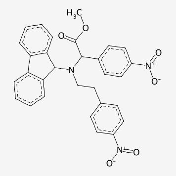 COC(=O)C(c1ccc([N+](=O)[O-])cc1)N(CCc1ccc([N+](=O)[O-])cc1)C1c2ccccc2-c2ccccc21